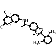 Cc1cccc(C)c1-c1nc2ccc(C(=O)Nc3ccc4c(C)cc(=O)oc4c3)cc2[nH]1